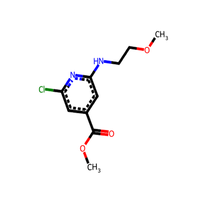 COCCNc1cc(C(=O)OC)cc(Cl)n1